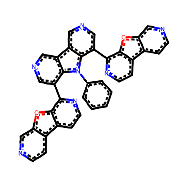 c1ccc(-n2c3c(-c4nccc5c4oc4cnccc45)cncc3c3cncc(-c4nccc5c4oc4cnccc45)c32)cc1